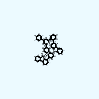 O=S1(=O)c2ccccc2-c2cccc(-c3ccc(-n4c5ccccc5c5cc(-c6ccccc6-c6cc(-c7ccccc7)cc(-c7ccccc7)n6)ccc54)cc3)c21